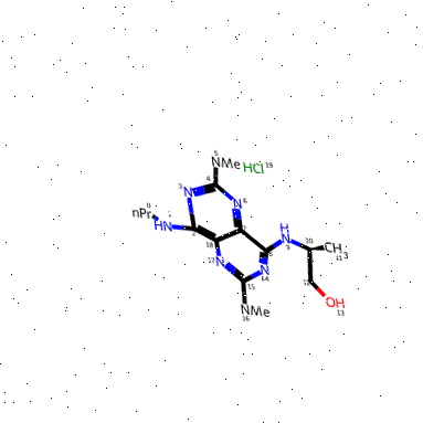 CCCNc1nc(NC)nc2c(N[C@@H](C)CO)nc(NC)nc12.Cl